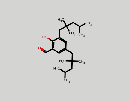 CC(C)CC(C)(C)Cc1cc(C=O)c(O)c(CC(C)(C)CC(C)C)c1